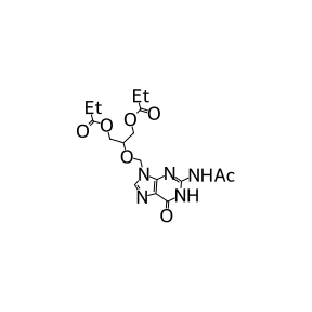 CCC(=O)OCC(COC(=O)CC)OCn1cnc2c(=O)[nH]c(NC(C)=O)nc21